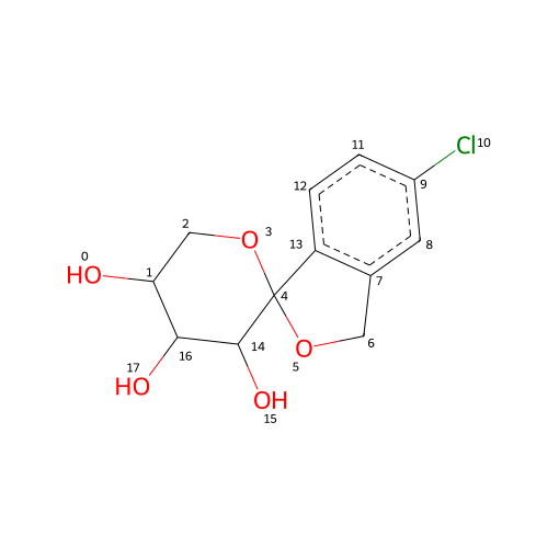 OC1COC2(OCc3cc(Cl)ccc32)C(O)C1O